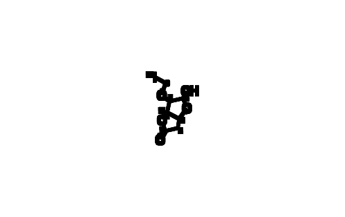 O=C1CC2OC(O)C(OCI)C2O1